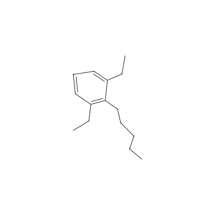 CCCCCc1c(CC)cccc1CC